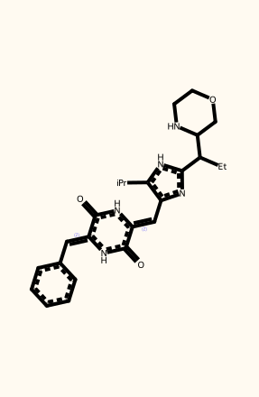 CCC(c1nc(/C=c2\[nH]c(=O)/c(=C/c3ccccc3)[nH]c2=O)c(C(C)C)[nH]1)C1COCCN1